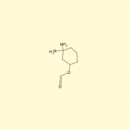 NC1(N)CCCC(OC=O)C1